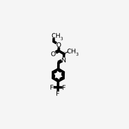 CCOC(=O)[C@H](C)N=Cc1ccc(C(F)(F)F)cc1